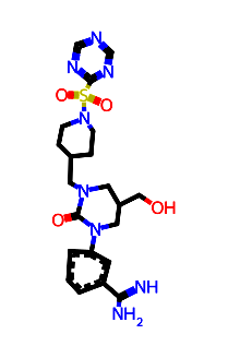 N=C(N)c1cccc(N2CC(CO)CN(CC3CCN(S(=O)(=O)c4ncncn4)CC3)C2=O)c1